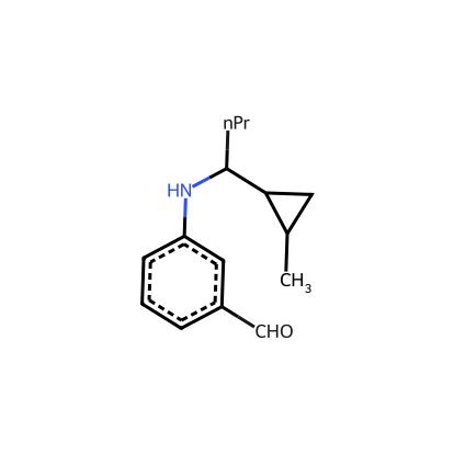 CCCC(Nc1cccc(C=O)c1)C1CC1C